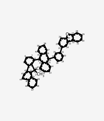 CC1(C)c2c(cccc2-c2c3ccccc3c(-c3cccc(-c4ccc5oc6ccccc6c5c4)c3)c3ccccc23)-c2ccc3ccccc3c21